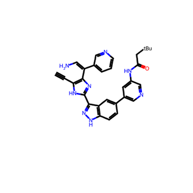 C#Cc1[nH]c(-c2n[nH]c3ccc(-c4cncc(NC(=O)CC(C)(C)C)c4)cc23)nc1/C(=C\N)c1cccnc1